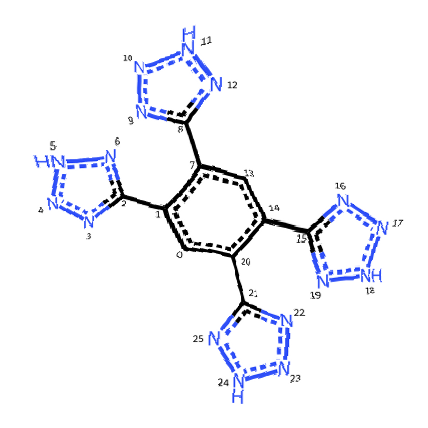 c1c(-c2nn[nH]n2)c(-c2nn[nH]n2)cc(-c2nn[nH]n2)c1-c1nn[nH]n1